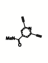 C#Cc1cc(C(=O)NC)cc(C#C)n1